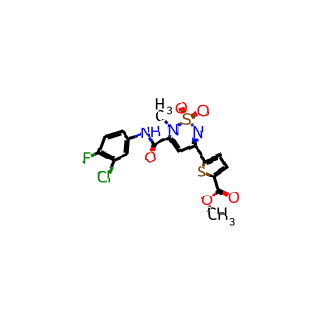 COC(=O)c1ccc(C2=NS(=O)(=O)N(C)C(C(=O)Nc3ccc(F)c(Cl)c3)=C2)s1